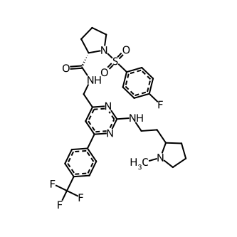 CN1CCCC1CCNc1nc(CNC(=O)[C@@H]2CCCN2S(=O)(=O)c2ccc(F)cc2)cc(-c2ccc(C(F)(F)F)cc2)n1